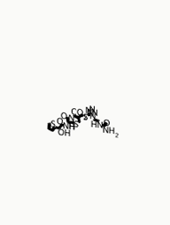 NC(=O)NCCn1nnnc1SCC1=C(C(=O)O)N2C(=O)C(NC(=O)C(O)c3cccs3)[C@H]2SC1